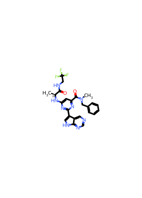 C[C@H](Nc1cc(C(=O)N(C)Cc2ccccc2)nc(-c2c[nH]c3ncncc23)n1)C(=O)NCC(F)(F)F